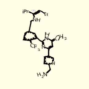 C=C1C=C(c2ccc(CN)nc2)N=C(c2cc(CN/C(=C\CC)C(C)C)ccc2C(F)(F)F)N1